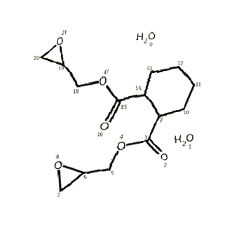 O.O.O=C(OCC1CO1)C1CCCCC1C(=O)OCC1CO1